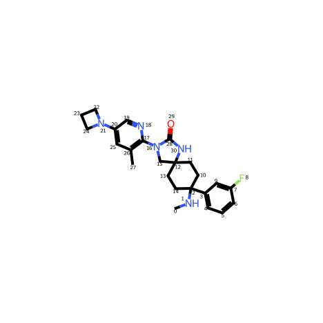 CNC1(c2cccc(F)c2)CCC2(CC1)CN(c1ncc(N3CCC3)cc1C)C(=O)N2